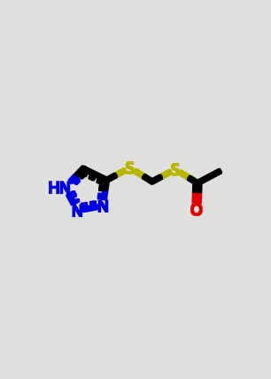 CC(=O)SCSc1c[nH]nn1